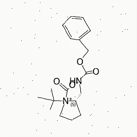 CC(C)(C)[N+]1(C(=O)[O-])CCC[C@H]1CNC(=O)OCc1ccccc1